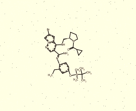 CCc1cc(O[Si](C)(C)C(C)(C)C)ccc1N=C(N)c1cnn2cc(Br)cc2c1NC[C@H]1CCCN1C(=O)C1CC1